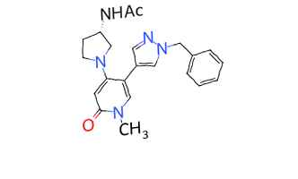 CC(=O)N[C@H]1CCN(c2cc(=O)n(C)cc2-c2cnn(Cc3ccccc3)c2)C1